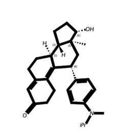 CC(C)N(C)c1ccc([C@H]2C[C@]3(C)[C@@H](O)CC[C@H]3[C@@H]3CCC4=CC(=O)CCC4=C32)cc1